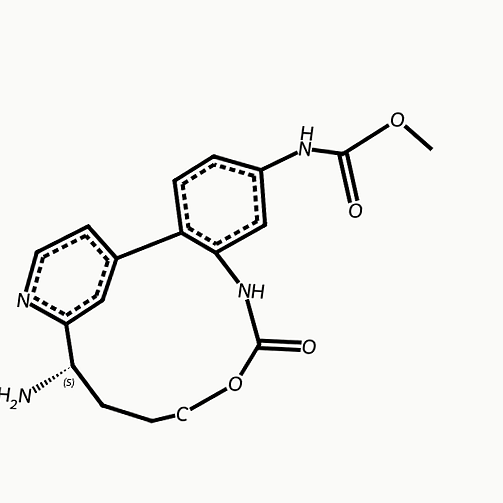 COC(=O)Nc1ccc2c(c1)NC(=O)OCCC[C@H](N)c1cc-2ccn1